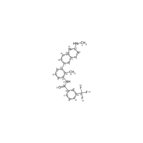 CNc1ncc2cc(-c3cccc(NC(=O)c4cccc(C(F)(F)F)c4)c3C)ccc2n1